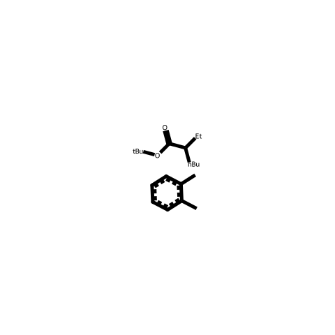 CCCCC(CC)C(=O)OC(C)(C)C.Cc1ccccc1C